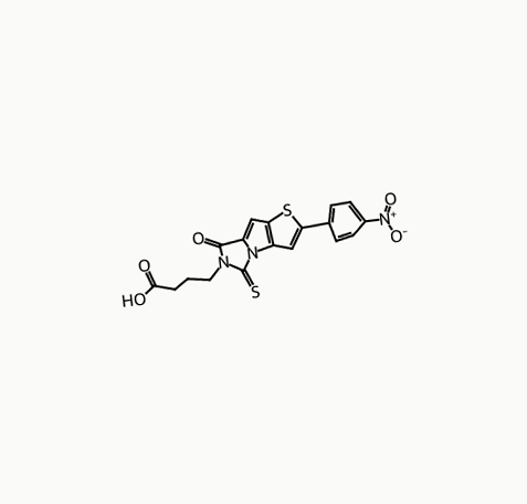 O=C(O)CCCN1C(=O)c2cc3sc(-c4ccc([N+](=O)[O-])cc4)cc3n2C1=S